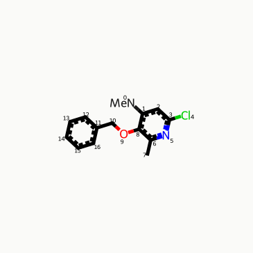 CNc1cc(Cl)nc(C)c1OCc1ccccc1